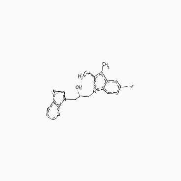 Cc1c(C)n(CC(O)Cn2cnc3ccccc32)c2ccc(F)cc12